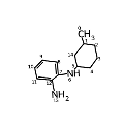 CC1CCCC(Nc2ccccc2N)C1